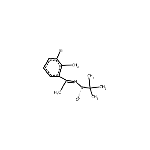 CC(=N[S@@+]([O-])C(C)(C)C)c1cccc(Br)c1C